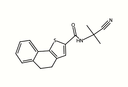 CC(C)(C#N)NC(=O)c1cc2c(s1)-c1ccccc1CC2